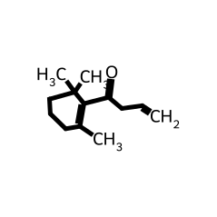 C=CCC(=O)C1=C(C)CCCC1(C)C